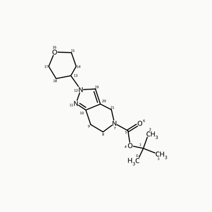 CC(C)(C)OC(=O)N1CCc2nn(C3CCOCC3)cc2C1